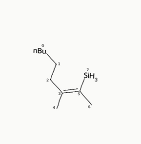 CCCCCCC(C)=C(C)[SiH3]